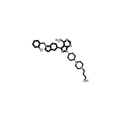 Nc1ncnc2c1c(-c1ccc3c(ccn3Cc3ccccc3Cl)c1)nn2[C@H]1CC[C@@H](N2CCN(CCCO)CC2)CC1